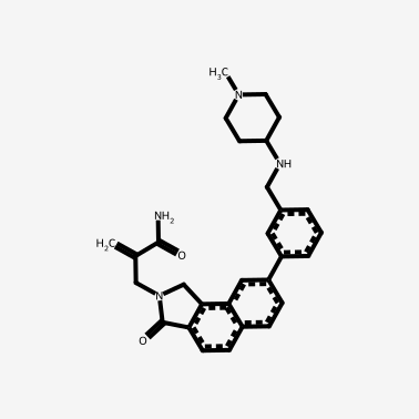 C=C(CN1Cc2c(ccc3ccc(-c4cccc(CNC5CCN(C)CC5)c4)cc23)C1=O)C(N)=O